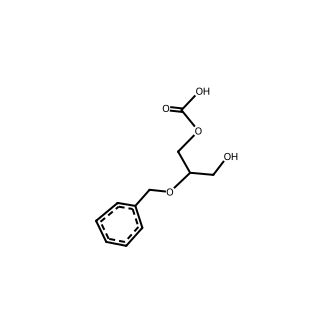 O=C(O)OCC(CO)OCc1ccccc1